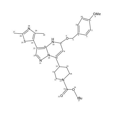 COc1ccc(COC2C=C(C3CCN(C(=O)OC(C)(C)C)CC3)n3ncc(-c4sc(C)nc4C)c3N2)cc1